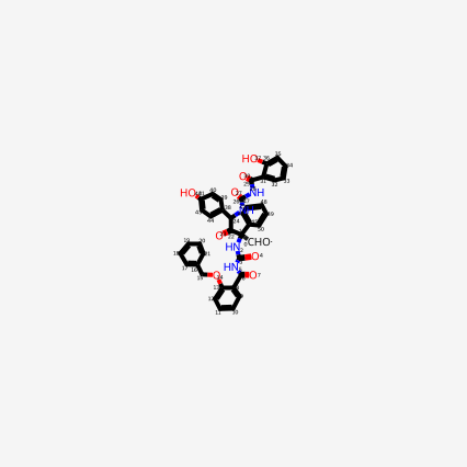 O=[C]C(NC(=O)NC(=O)c1ccccc1OCc1ccccc1)(C(=O)C(NC(=O)NC(=O)c1ccccc1O)c1ccc(O)cc1)c1ccccc1